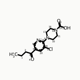 CCCC(=O)c1cnc(N2CCN(C(=O)O)CC2)c(Cl)c1